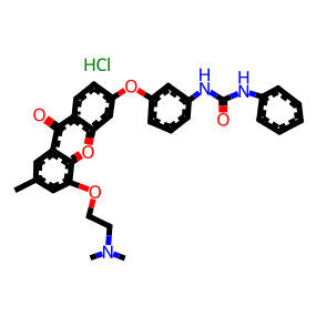 Cc1cc(OCCN(C)C)c2oc3cc(Oc4cccc(NC(=O)Nc5ccccc5)c4)ccc3c(=O)c2c1.Cl